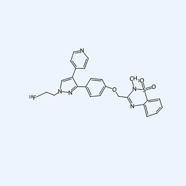 CN1C(COc2ccc(-c3nn(CC[18F])cc3-c3ccncc3)cc2)=Nc2ccccc2S1(=O)=O